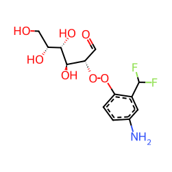 Nc1ccc(OO[C@@H](C=O)[C@@H](O)[C@@H](O)[C@H](O)CO)c(C(F)F)c1